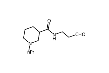 CCCN1CCCC(C(=O)NCCC=O)C1